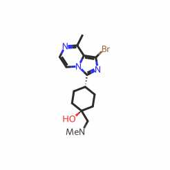 CNC[C@]1(O)CC[C@H](c2nc(Br)c3c(C)nccn32)CC1